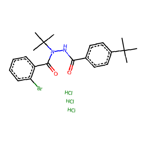 CC(C)(C)c1ccc(C(=O)NN(C(=O)c2ccccc2Br)C(C)(C)C)cc1.Cl.Cl.Cl